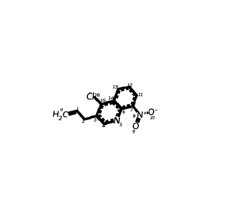 C=CCc1cnc2c([N+](=O)[O-])cccc2c1Cl